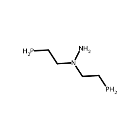 NN(CCP)CCP